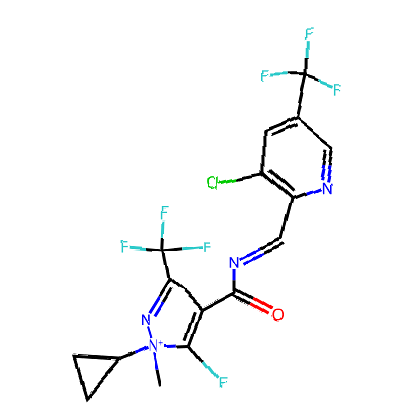 C[N+]1(C2CC2)N=C(C(F)(F)F)C(C(=O)N=Cc2ncc(C(F)(F)F)cc2Cl)=C1F